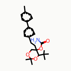 Cc1ccc(-c2ccc(CCC3(OC(N)=O)COC(C)(C)OC3C(C)(C)C)cc2)cc1